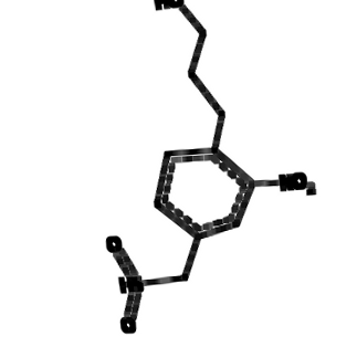 O=[N+]([O-])c1cc(C[SH](=O)=O)ccc1CCCO